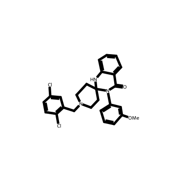 COc1cccc(N2C(=O)c3ccccc3NC23CCN(Cc2cc(Cl)ccc2Cl)CC3)c1